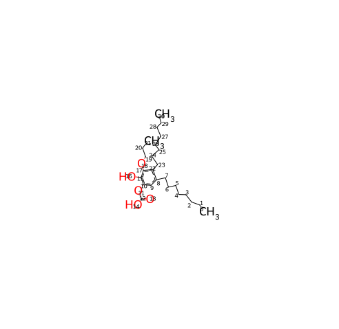 CCCCCCCCc1cc(OC(=O)O)c(O)c(OCCC)c1CCCCCCCC